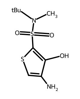 CN(C(C)(C)C)S(=O)(=O)c1scc(N)c1O